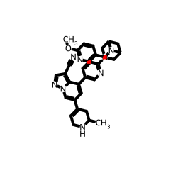 COc1ccc(CN2C3CC2CN(c2ccc(-c4cc(C5=CCNC(C)C5)cn5ncc(C#N)c45)cn2)C3)cn1